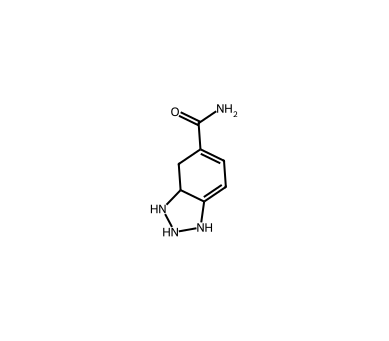 NC(=O)C1=CC=C2NNNC2C1